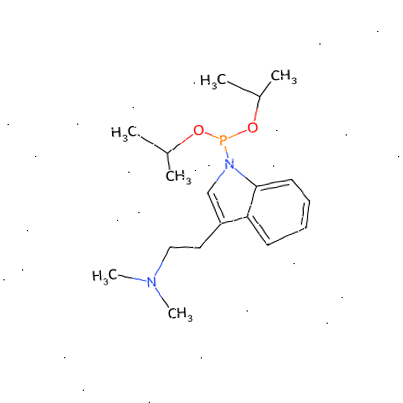 CC(C)OP(OC(C)C)n1cc(CCN(C)C)c2ccccc21